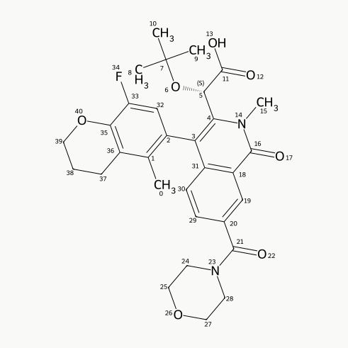 Cc1c(-c2c([C@H](OC(C)(C)C)C(=O)O)n(C)c(=O)c3cc(C(=O)N4CCOCC4)ccc23)cc(F)c2c1CCCO2